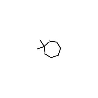 CC1(C)SCCCCS1